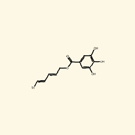 CCC=CC=CCOC(=O)c1cc(O)c(O)c(O)c1